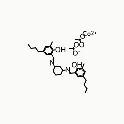 CC(=O)[O-].CC(=O)[O-].CCCCc1cc(C)c(O)c(C=NC2CCCC(N=Cc3cc(CCCC)cc(C)c3O)C2)c1.[Co+2]